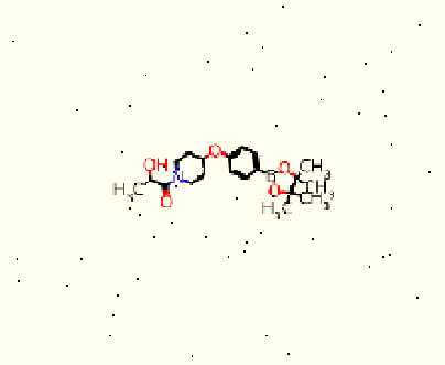 C[C@@H](O)C(=O)N1CCC(Oc2ccc(B3OC(C)(C)C(C)(C)O3)cc2)CC1